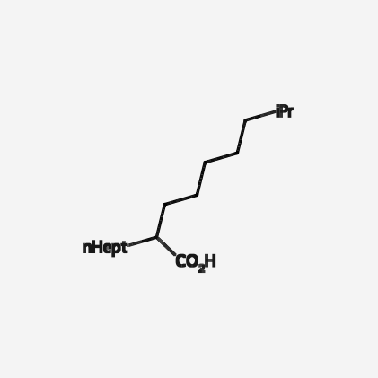 CCCCCCCC(CCCCCC(C)C)C(=O)O